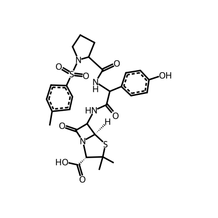 Cc1ccc(S(=O)(=O)N2CCCC2C(=O)NC(C(=O)NC2C(=O)N3[C@@H]2SC(C)(C)[C@@H]3C(=O)O)c2ccc(O)cc2)cc1